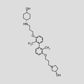 Cc1c(OCCCN[C@H]2CC[C@H](O)CC2)cccc1-c1cccc(OCCCN2CC[C@@H](O)C2)c1C